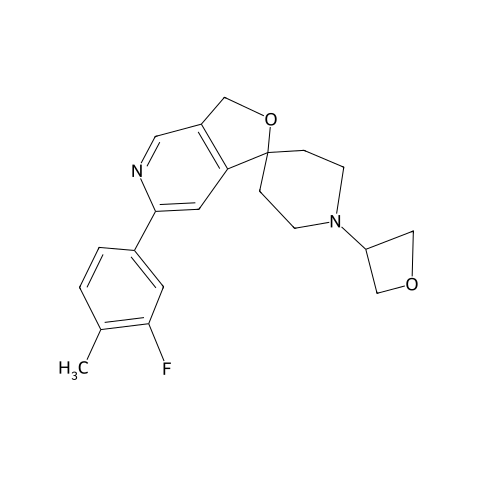 Cc1ccc(-c2cc3c(cn2)COC32CCN(C3COC3)CC2)cc1F